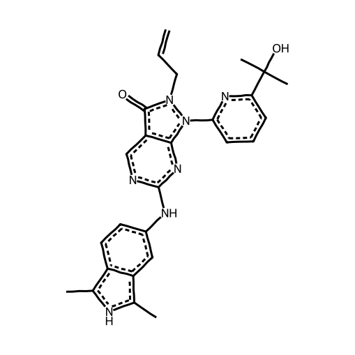 C=CCn1c(=O)c2cnc(Nc3ccc4c(C)[nH]c(C)c4c3)nc2n1-c1cccc(C(C)(C)O)n1